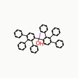 OC(I)(c1ccc(-c2ccccc2)c(-c2ccccc2)c1-c1ccccc1)c1ccc(-c2ccccc2)c(-c2ccccc2)c1-c1ccccc1